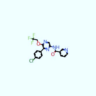 O=C(Nc1cnc(OCC(F)(F)F)c(-c2ccc(Cl)cc2)n1)c1cccnc1